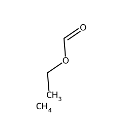 C.CCOC=O